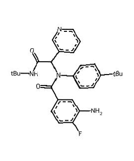 CC(C)(C)NC(=O)C(c1cccnc1)N(C(=O)c1ccc(F)c(N)c1)c1ccc(C(C)(C)C)cc1